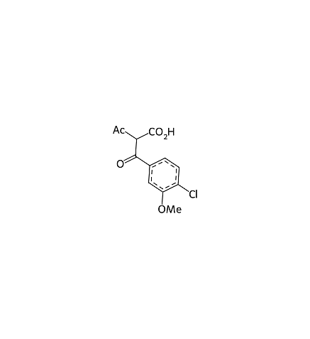 COc1cc(C(=O)C(C(C)=O)C(=O)O)ccc1Cl